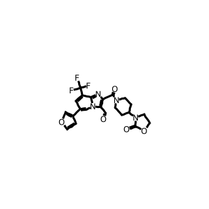 O=Cc1c(C(=O)N2CCC(N3CCOC3=O)CC2)nc2c(C(F)(F)F)cc(-c3ccoc3)cn12